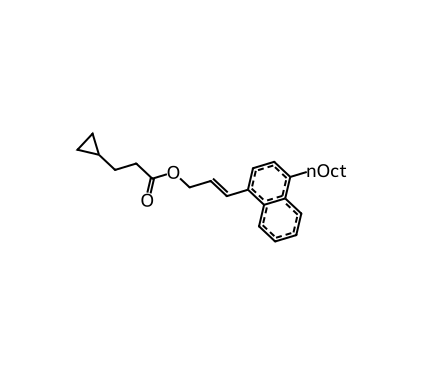 CCCCCCCCc1ccc(C=CCOC(=O)CCC2CC2)c2ccccc12